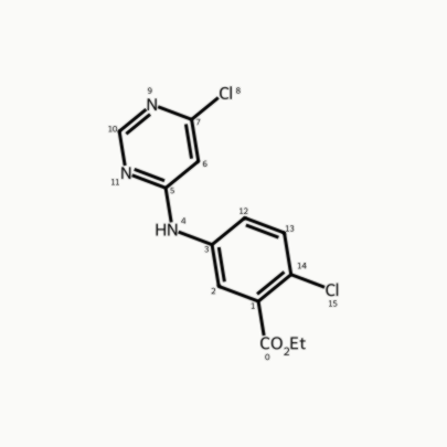 CCOC(=O)c1cc(Nc2cc(Cl)ncn2)ccc1Cl